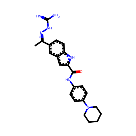 C/C(=N/NC(=N)N)c1ccc2[nH]c(C(=O)Nc3ccc(N4CCCCC4)cc3)cc2c1